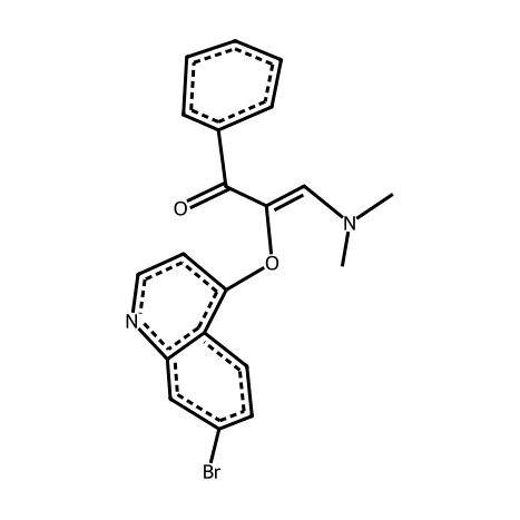 CN(C)C=C(Oc1ccnc2cc(Br)ccc12)C(=O)c1ccccc1